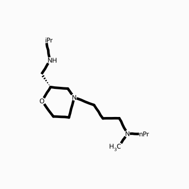 CCCN(C)CCCN1CCO[C@H](CNC(C)C)C1